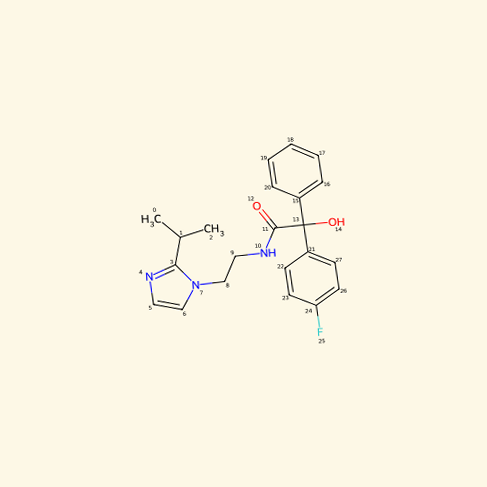 CC(C)c1nccn1CCNC(=O)C(O)(c1ccccc1)c1ccc(F)cc1